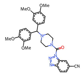 COc1ccc(C(c2ccc(OC)c(OC)c2)N2CCN(C(=O)n3nnc4ccc(C#N)cc43)CC2)cc1OC